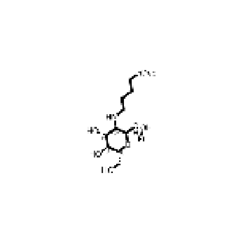 CCCCCCCCCCCCCCN[C@H]1C(O)O[C@H](CO)[C@@H](O)[C@@H]1O.CCO